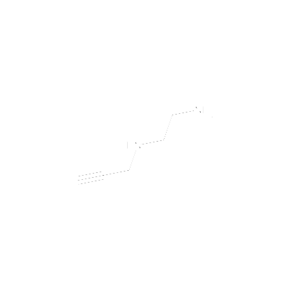 C#CCNCCN